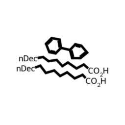 CCCCCCCCCCCCCCCCCC(=O)O.CCCCCCCCCCCCCCCCCC(=O)O.c1ccc(-c2ccccc2)cc1